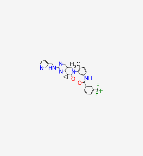 Cc1ccc(NC(=O)c2cccc(C(F)(F)F)c2)cc1N1Cc2cnc(NCc3cccnc3)nc2C2(CC2)C1=O